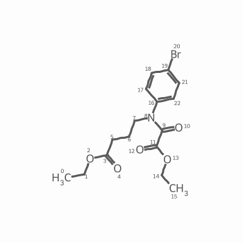 CCOC(=O)CCCN(C(=O)C(=O)OCC)c1ccc(Br)cc1